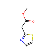 COC(=O)Cc1n[c]cs1